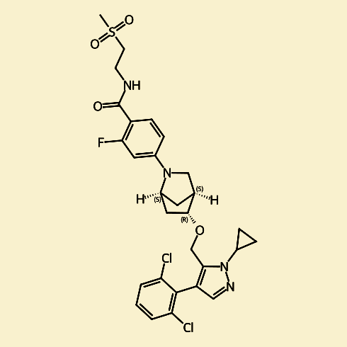 CS(=O)(=O)CCNC(=O)c1ccc(N2C[C@@H]3C[C@H]2C[C@H]3OCc2c(-c3c(Cl)cccc3Cl)cnn2C2CC2)cc1F